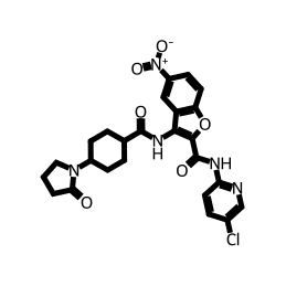 O=C(Nc1ccc(Cl)cn1)c1oc2ccc([N+](=O)[O-])cc2c1NC(=O)C1CCC(N2CCCC2=O)CC1